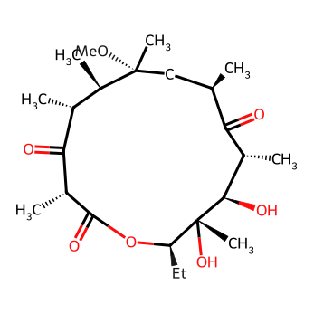 CC[C@H]1OC(=O)[C@H](C)C(=O)[C@H](C)[C@@H](C)[C@](C)(OC)C[C@@H](C)C(=O)[C@H](C)[C@@H](O)[C@]1(C)O